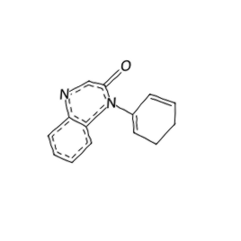 O=c1cnc2ccccc2n1C1=CCCC=C1